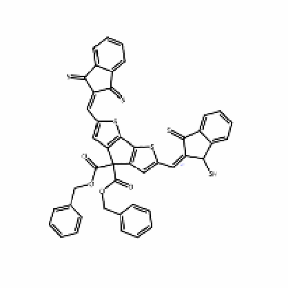 O=C(OCc1ccccc1)C1(C(=O)OCc2ccccc2)c2cc(C=C3C(=S)c4ccccc4C3=S)sc2-c2sc(/C=C3\C(=S)c4ccccc4C3S)cc21